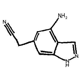 N#CCc1cc(N)c2cn[nH]c2c1